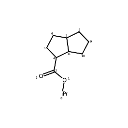 CC(C)OC(=O)C1CCC2CCCC21